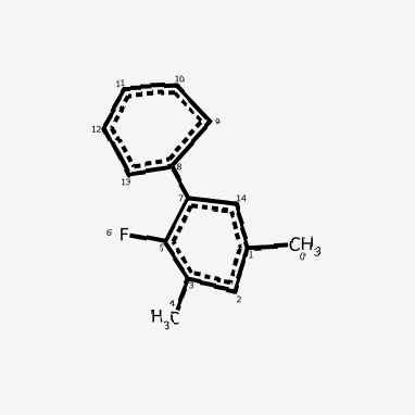 Cc1cc(C)c(F)c(-c2ccccc2)c1